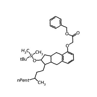 CCCCCC(C)CCC1C(O[Si](C)(C)C(C)(C)C)CC2Cc3c(cccc3OCC(=O)OCc3ccccc3)CC21